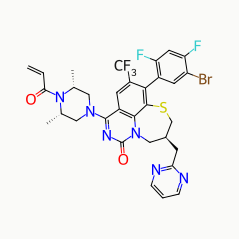 C=CC(=O)N1[C@H](C)CN(c2nc(=O)n3c4c(c(-c5cc(Br)c(F)cc5F)c(C(F)(F)F)cc24)SC[C@@H](Cc2ncccn2)C3)C[C@@H]1C